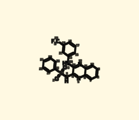 O=S(=O)(Nc1nc2ccccc2nc1Nc1cccc(C(F)(F)F)c1)c1ccccc1